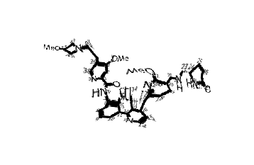 COc1cc(C(=O)Nc2cccc(-c3nccc(-c4ccc(CNC[C@@H]5CCC(=O)N5)c(OC)n4)c3Cl)c2Cl)ncc1CN1CC(OC)C1